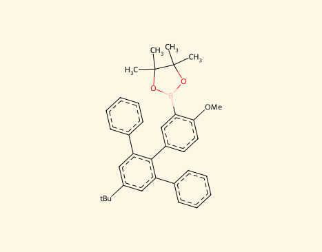 COc1ccc(-c2c(-c3ccccc3)cc(C(C)(C)C)cc2-c2ccccc2)cc1B1OC(C)(C)C(C)(C)O1